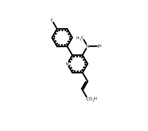 CC(C)N(C)c1cc(/C=C/C(=O)O)cnc1-c1ccc(F)cc1